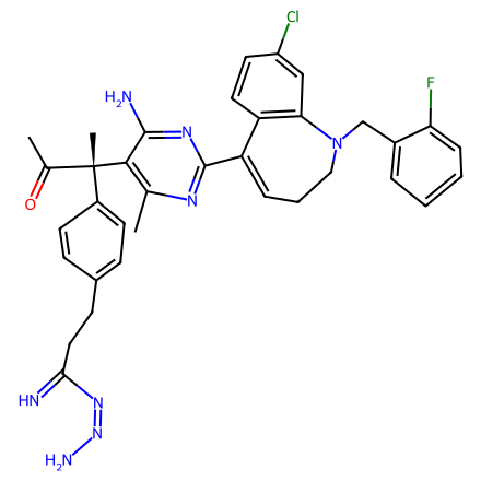 CC(=O)[C@@](C)(c1ccc(CCC(=N)/N=N\N)cc1)c1c(C)nc(C2=CCCN(Cc3ccccc3F)c3cc(Cl)ccc32)nc1N